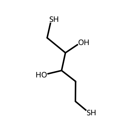 OC(CS)C(O)CCS